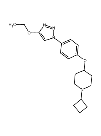 CCOc1cn(-c2ccc(OC3CCN(C4CCC4)CC3)cc2)nn1